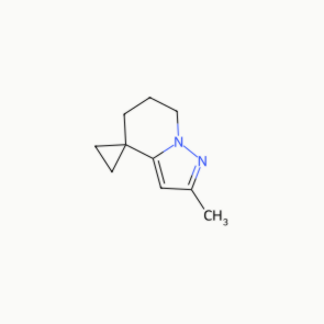 Cc1cc2n(n1)CCCC21CC1